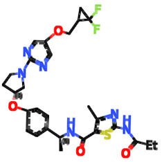 CCC(=O)Nc1nc(C)c(C(=O)N[C@@H](C)c2ccc(O[C@@H]3CCN(c4ncc(OCC5CC5(F)F)cn4)C3)cc2)s1